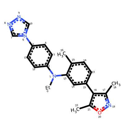 CCN(c1ccc(-n2cnnc2)cc1)c1cc(-c2c(C)noc2C)ccc1C